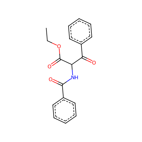 CCOC(=O)C(NC(=O)c1ccccc1)C(=O)c1ccccc1